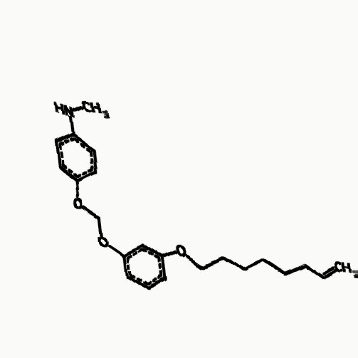 C=CCCCCCCOc1cccc(OCOc2ccc(NC)cc2)c1